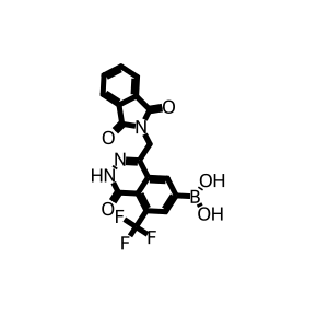 O=C1c2ccccc2C(=O)N1Cc1n[nH]c(=O)c2c(C(F)(F)F)cc(B(O)O)cc12